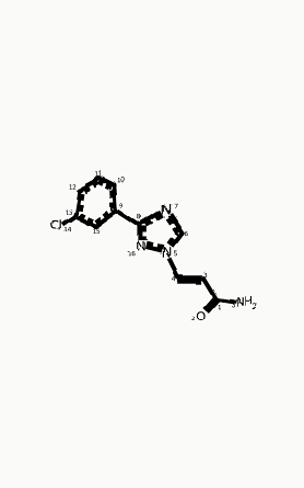 NC(=O)/C=C/n1cnc(-c2cccc(Cl)c2)n1